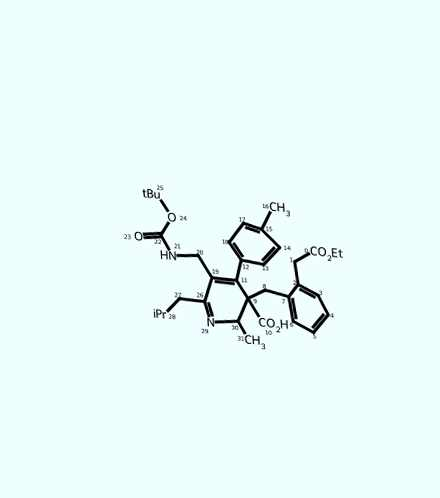 CCOC(=O)Cc1ccccc1CC1(C(=O)O)C(c2ccc(C)cc2)=C(CNC(=O)OC(C)(C)C)C(CC(C)C)=NC1C